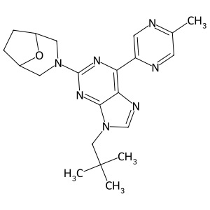 Cc1cnc(-c2nc(N3CC4CCC(C3)O4)nc3c2ncn3CC(C)(C)C)cn1